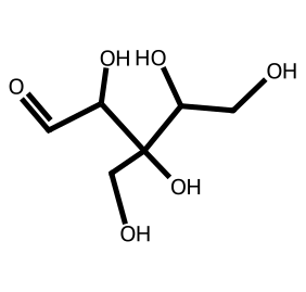 O=CC(O)C(O)(CO)C(O)CO